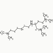 CN(C)CCCSCCNC(CCN(C)C)CN(C)C